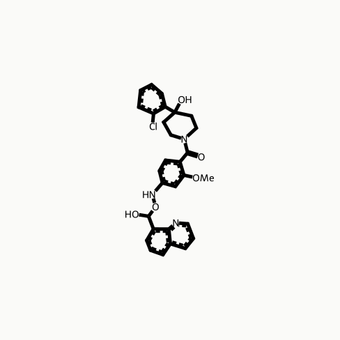 COc1cc(NOC(O)c2cccc3cccnc23)ccc1C(=O)N1CCC(O)(c2ccccc2Cl)CC1